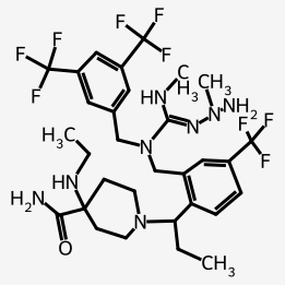 CCNC1(C(N)=O)CCN(C(CC)c2ccc(C(F)(F)F)cc2CN(Cc2cc(C(F)(F)F)cc(C(F)(F)F)c2)/C(=N/N(C)N)NC)CC1